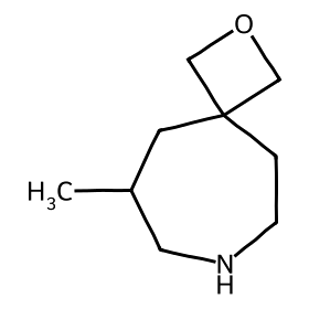 CC1CNCCC2(COC2)C1